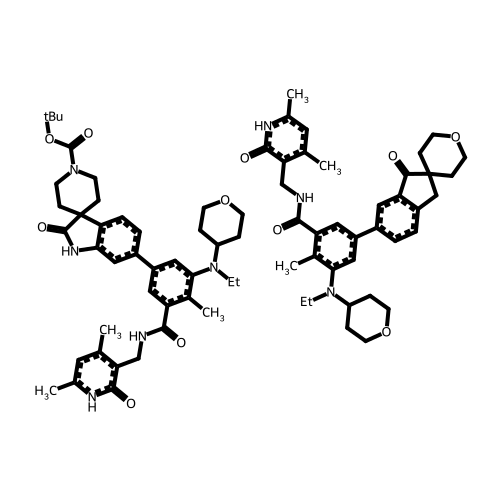 CCN(c1cc(-c2ccc3c(c2)C(=O)C2(CCOCC2)C3)cc(C(=O)NCc2c(C)cc(C)[nH]c2=O)c1C)C1CCOCC1.CCN(c1cc(-c2ccc3c(c2)NC(=O)C32CCN(C(=O)OC(C)(C)C)CC2)cc(C(=O)NCc2c(C)cc(C)[nH]c2=O)c1C)C1CCOCC1